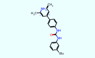 C=C/C=C(\C=C(\C)N)c1ccc(NC(=O)Nc2cccc(C(C)(C)C)c2)cc1